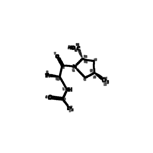 CC(C)[C@H](NC(=O)C(F)(F)F)C(=O)N1C[C@H](C(F)(F)F)C[C@H]1C(=O)O